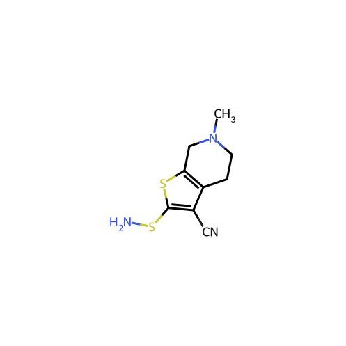 CN1CCc2c(sc(SN)c2C#N)C1